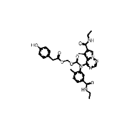 CCNC(=O)c1ccc(C)c(N(C(=O)OCOC(=O)Cc2ccc(O)cc2)c2ncnn3cc(C(=O)NCC)c(C)c23)c1